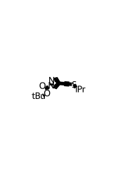 CC(C)SC#Cc1cnn(C(=O)OC(C)(C)C)c1